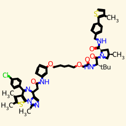 Cc1ccsc1-c1ccc(CNC(=O)[C@@H]2C[C@@H](C)CN2C(=O)[C@@H](NC(=O)COCCCCCOc2cccc(NC(=O)CC3N=C(c4ccc(Cl)cc4)c4c(sc(C)c4C)-n4c3cnc4C)c2)C(C)(C)C)cc1